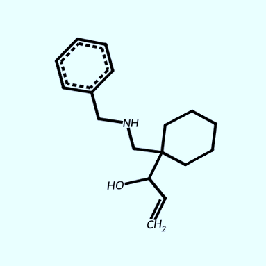 C=CC(O)C1(CNCc2ccccc2)CCCCC1